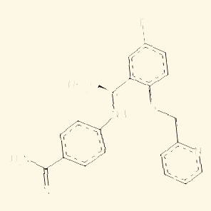 CCc1ccc(OCc2ccccn2)c([C@@H](Nc2ccc(C(=N)N)cc2)C(=O)O)c1